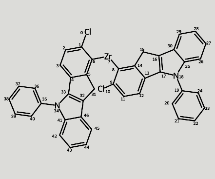 Clc1ccc2c([c]1[Zr][c]1c(Cl)ccc3c1Cc1c-3n(-c3ccccc3)c3ccccc13)Cc1c-2n(-c2ccccc2)c2ccccc12